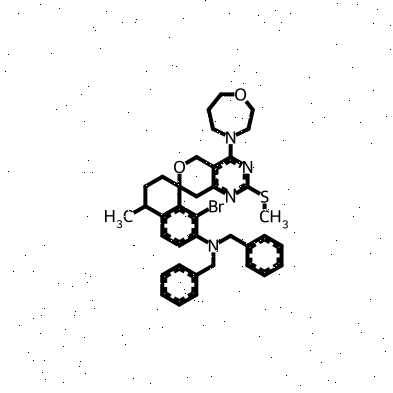 CSc1nc2c(c(N3CCCOCC3)n1)COC1(CCC(C)c3ccc(N(Cc4ccccc4)Cc4ccccc4)c(Br)c31)C2